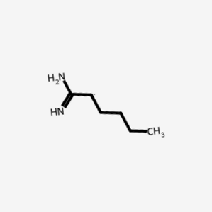 CCCC[CH]C(=N)N